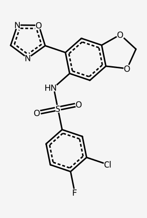 O=S(=O)(Nc1cc2c(cc1-c1ncno1)OCO2)c1ccc(F)c(Cl)c1